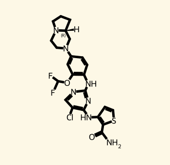 NC(=O)c1sccc1Nc1nc(Nc2ccc(N3CCN4CCC[C@@H]4C3)cc2OC(F)F)ncc1Cl